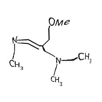 CN=C(OC)N(C)C